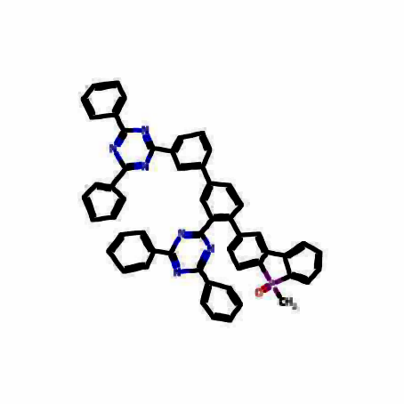 CP1(=O)c2ccccc2-c2cc(-c3ccc(-c4cccc(-c5nc(-c6ccccc6)nc(-c6ccccc6)n5)c4)cc3-c3nc(-c4ccccc4)nc(-c4ccccc4)n3)ccc21